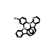 Brc1ccc(-n2c3ccccc3c3cccnc32)c(-n2c3ccccc3c3cccnc32)c1